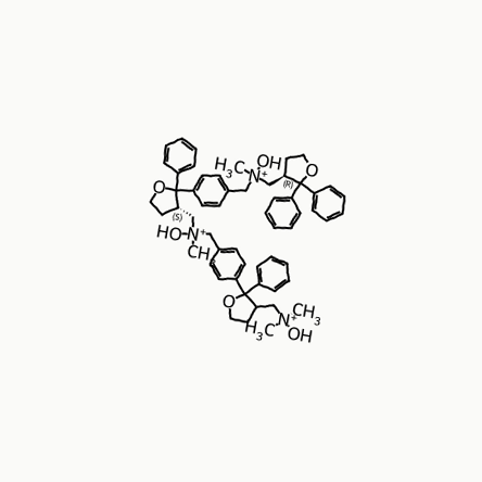 C[N+](C)(O)CC1CCOC1(c1ccccc1)c1ccc(C[N+](C)(O)C[C@@H]2CCOC2(c2ccccc2)c2ccc(C[N+](C)(O)C[C@H]3CCOC3(c3ccccc3)c3ccccc3)cc2)cc1